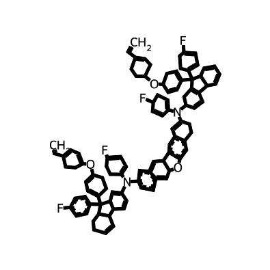 C=CC1=CC=C(OC2=CC=C(C3(c4ccc(F)cc4)C4C=C(N(C5=CC=C(F)CC5)c5ccc6c(c5)=CC5c7cc8c(cc7OC5C=6)CCC(N(C5=CCC(F)C=C5)C5C=CC6=C(C5)C(C5=CCC(OC7CC=C(C=C)CC7)C=C5)(C5=CC=C(F)CC5)C5C=CC=CC65)=C8)C=CC4C4C=CCCC43)CC2)CC1